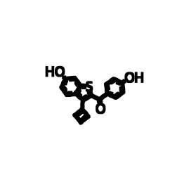 O=C(c1ccc(O)cc1)c1sc2cc(O)ccc2c1C1=CC=C1